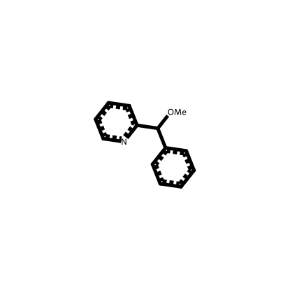 COC(c1ccccc1)c1ccccn1